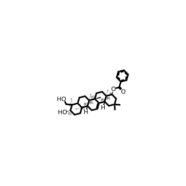 CC1(C)C[C@@H]2C3=CC[C@@H]4[C@@]5(C)CC[C@H](O)[C@@](C)(CO)C5CC[C@@]4(C)[C@]3(C)CC[C@@]2(C)[C@H](OC(=O)c2ccccc2)C1